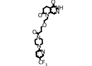 O=C(CCOCCN1C(=O)CCc2c1cn[nH]c2=O)N1CCN(c2ccc(C(F)(F)F)cn2)CC1